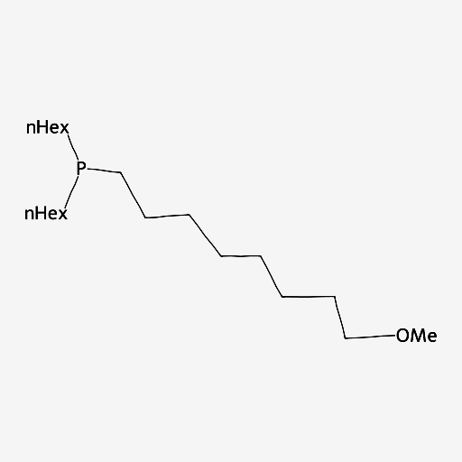 CCCCCCP(CCCCCC)CCCCCCCCOC